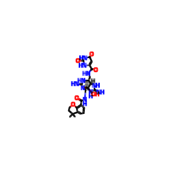 CC1(C)CCOc2c(C(=O)NC3CN4C(=N)N[C@@H](CNC(=O)c5cc(=O)[nH]c(=O)[nH]5)[C@@H]5NC(=N)N[C@@]54[C@@H]3O)cccc21